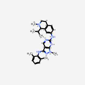 Cc1cccc(C)c1Nc1nn(C)c2nc(Nc3ccc4c(c3)C(C(C)C)N(C)CC4)ncc12